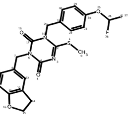 CSc1nc(=O)n(Cc2ccc3c(c2)CCO3)c(=O)n1Cc1ccc(OC(F)F)cc1